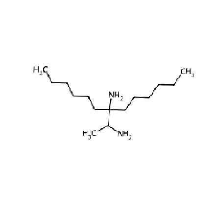 CCCCCCC(N)(CCCCCC)C(C)N